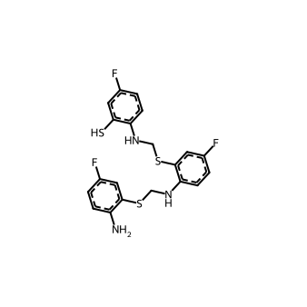 Nc1ccc(F)cc1SCNc1ccc(F)cc1SCNc1ccc(F)cc1S